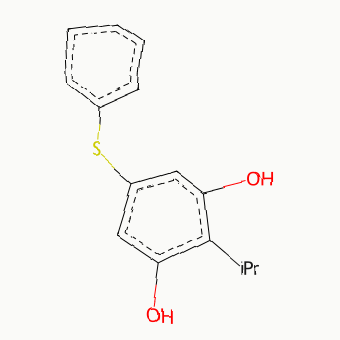 CC(C)c1c(O)cc(Sc2ccccc2)cc1O